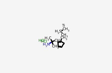 CC(C)(C)N.CC1=CC=CC1.C[SiH2]C.Cl.Cl.[Ti]